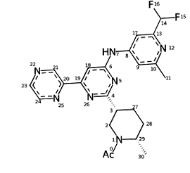 CC(=O)N1C[C@H](c2nc(Nc3cc(C)nc(C(F)F)c3)cc(-c3cnccn3)n2)CC[C@@H]1C